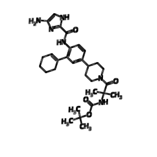 CC(C)(C)OC(=O)NC(C)(C)C(=O)N1CCC(c2ccc(NC(=O)c3nc(N)c[nH]3)c(C3=CCCCC3)c2)CC1